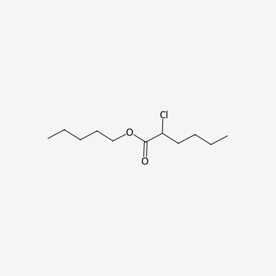 CCCCCOC(=O)C(Cl)CCCC